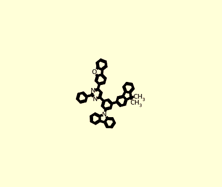 CC1(C)c2ccccc2-c2cc(-c3cc(-c4cc(-c5ccc6c(c5)oc5ccccc56)nc(-c5ccccc5)n4)cc(-n4c5ccccc5c5ccccc54)c3)ccc21